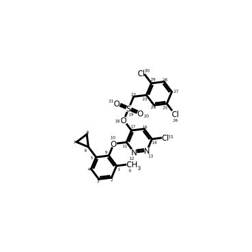 Cc1cccc(C2CC2)c1Oc1nnc(Cl)cc1OS(=O)(=O)Cc1cc(Cl)ccc1Cl